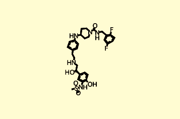 CS(=O)(=O)Nc1cc([C@@H](O)CNCCc2ccc(NC3CCN(C(=O)NCc4cc(F)ccc4F)CC3)cc2)ccc1O